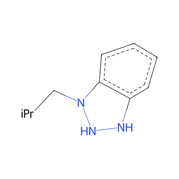 CC(C)CN1NNc2ccccc21